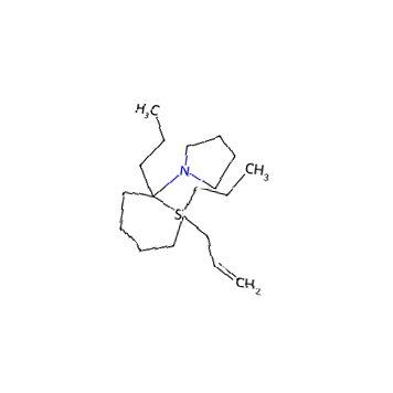 C=CC[Si]1(CCC)CCCCC1(CCC)N1CCCC1